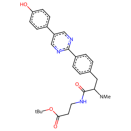 CNC(Cc1ccc(-c2ncc(-c3ccc(O)cc3)cn2)cc1)C(=O)NCCC(=O)OC(C)(C)C